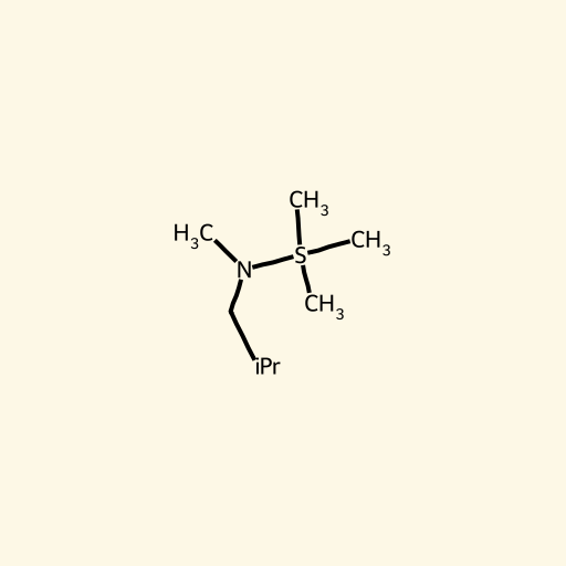 CC(C)CN(C)S(C)(C)C